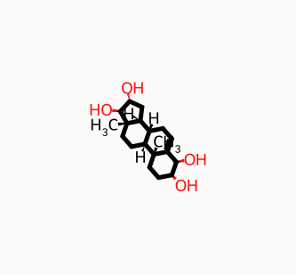 C[C@]12CC[C@H]3[C@@H](CC=C4[C@@H](O)[C@@H](O)CC[C@@]43C)[C@@H]1C[C@@H](O)[C@@H]2O